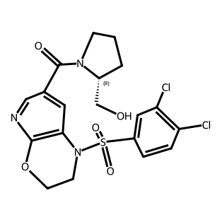 O=C(c1cnc2c(c1)N(S(=O)(=O)c1ccc(Cl)c(Cl)c1)CCO2)N1CCC[C@@H]1CO